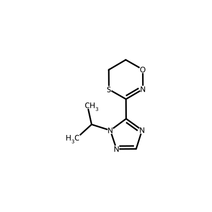 CC(C)n1ncnc1C1=NOCCS1